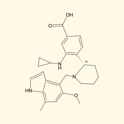 COc1cc(C)c2[nH]ccc2c1CN1CCCC[C@H]1c1ccc(C(=O)O)cc1NC1CC1